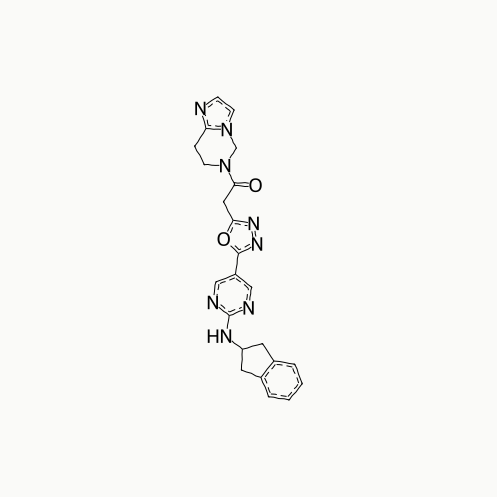 O=C(Cc1nnc(-c2cnc(NC3Cc4ccccc4C3)nc2)o1)N1CCc2nccn2C1